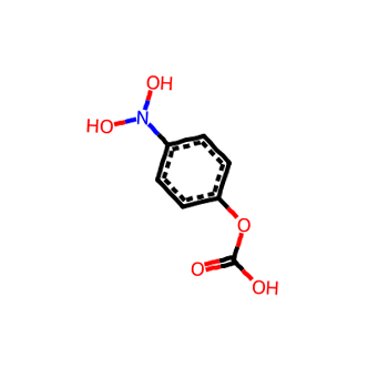 O=C(O)Oc1ccc(N(O)O)cc1